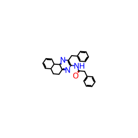 O=C(Cc1ccccc1)Nc1nc2c(nc1Cc1ccccc1)C1C=CC=CC1CC2